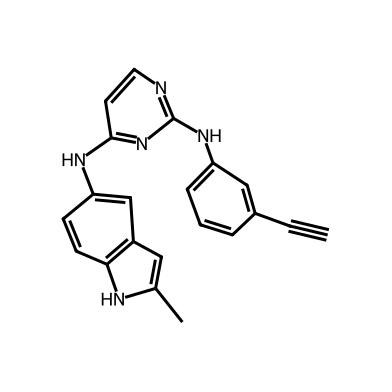 C#Cc1cccc(Nc2nccc(Nc3ccc4[nH]c(C)cc4c3)n2)c1